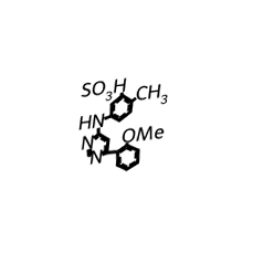 COc1ccccc1-c1cc(Nc2ccc(C)c(S(=O)(=O)O)c2)ncn1